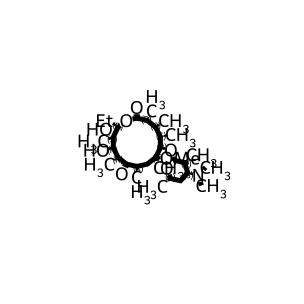 CC[C@H]1OC(=O)[C@H](C)[C@@H](C)[C@H](C)[C@@H](OC2O[C@H](C)C[C@H](N(C)C)[C@H]2C)[C@@](C)(OC)C[C@@H](C)C(=O)[C@H](C)[C@@H](O)[C@]1(C)O